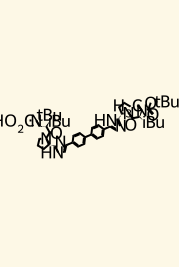 CC[C@@H](C)[C@@H](C(=O)N1CCC[C@H]1c1ncc(-c2ccc(-c3ccc(-c4c[nH]c([C@@H]5CCCN5C(=O)[C@H](CN(C(=O)O)C(C)(C)C)[C@H](C)CC)n4)cc3)cc2)[nH]1)N(C)C(=O)OC(C)(C)C